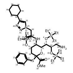 CC[Si](CC)(CC)O[C@@H]([C@@H]1OC(Sc2ccccc2)(C(=O)OC)C[C@H](O[Si](CC)(CC)CC)[C@H]1NC(=O)Cn1cc(C2CCCCC2)nn1)[C@@H](CN)O[Si](CC)(CC)CC